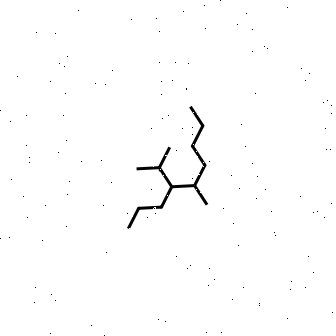 CCCCC(C)C(CCC)[C](C)C